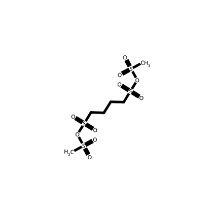 CS(=O)(=O)OS(=O)(=O)CCCCS(=O)(=O)OS(C)(=O)=O